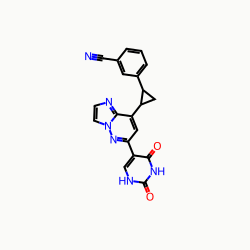 N#Cc1cccc(C2CC2c2cc(-c3c[nH]c(=O)[nH]c3=O)nn3ccnc23)c1